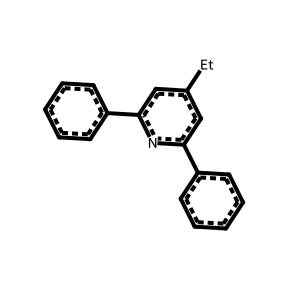 CCc1cc(-c2ccccc2)nc(-c2ccccc2)c1